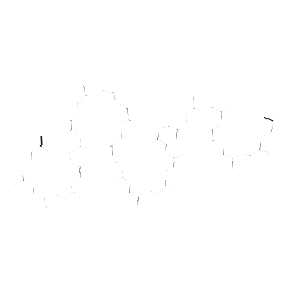 C=C(C)COCC(C)OCC(C)OCC(C)OCC(C)OCC(C)OCC(C)OCC(C)OCC(C)OCC(C)OCC(C)OCC(C)OCC(C)OCC(C)OCC(C)OCC(C)OCC(C)OCC(C)OCC(C)OCC(C)OCC(C)OCC(C)OCC(=C)C